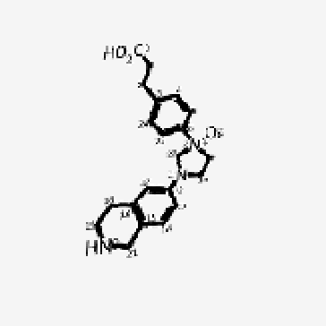 O=C(O)CCc1ccc([N+]2([O-])CCN(c3ccc4c(c3)CCNC4)C2)cc1